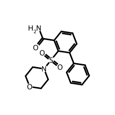 NC(=O)c1cccc(-c2ccccc2)c1S(=O)(=O)N1CCOCC1